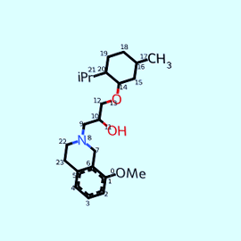 COc1cccc2c1CN(CC(O)COC1CC(C)CCC1C(C)C)CC2